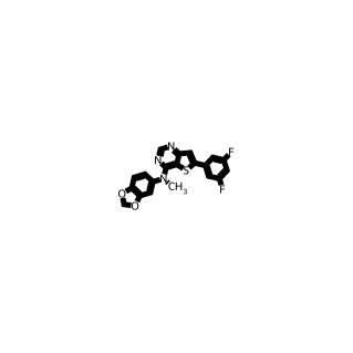 CN(c1ccc2c(c1)OCO2)c1ncnc2cc(-c3cc(F)cc(F)c3)sc12